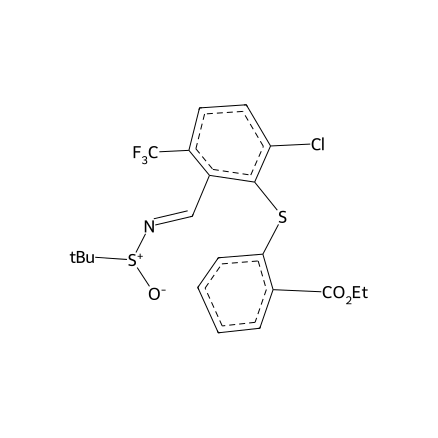 CCOC(=O)c1ccccc1Sc1c(Cl)ccc(C(F)(F)F)c1C=N[S+]([O-])C(C)(C)C